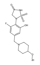 CC(C)OC1CCN(Cc2cc(O)c(N3CC(=O)NS3(=O)=O)c(F)c2)CC1